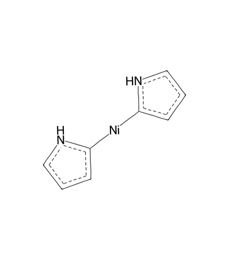 c1c[nH][c]([Ni][c]2ccc[nH]2)c1